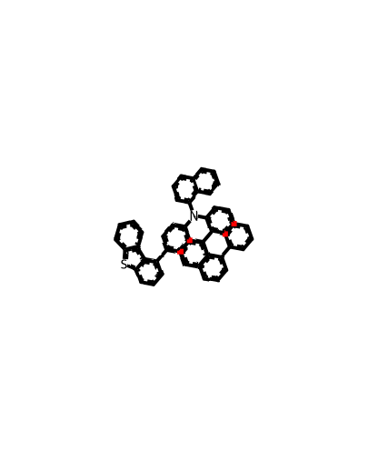 c1ccc(-c2cccc3cccc(-c4ccccc4N(c4ccc(-c5cccc6sc7ccccc7c56)cc4)c4cccc5ccccc45)c23)cc1